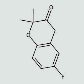 CC1(C)Oc2ccc(F)cc2CC1=O